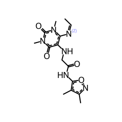 C/C=N\c1c(NCC(=O)Nc2onc(C)c2C)c(=O)n(C)c(=O)n1C